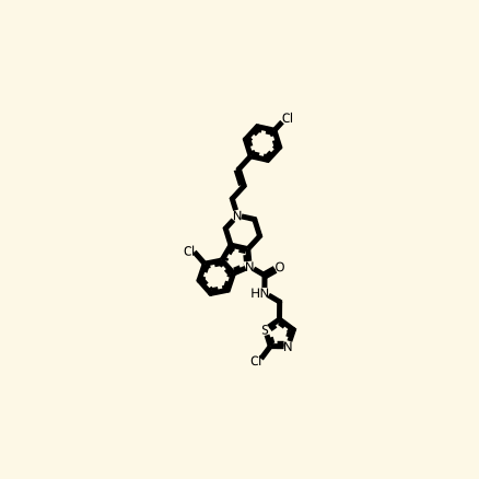 O=C(NCc1cnc(Cl)s1)n1c2c(c3c(Cl)cccc31)CN(CC=Cc1ccc(Cl)cc1)CC2